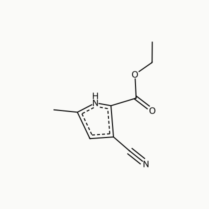 CCOC(=O)c1[nH]c(C)cc1C#N